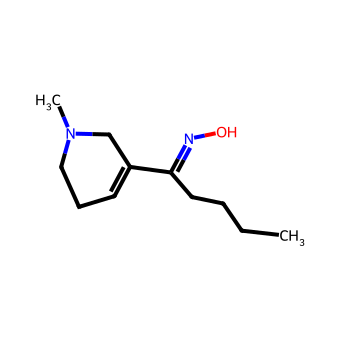 CCCCC(=NO)C1=CCCN(C)C1